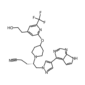 N#CCC[C@@H](Cn1cc(-c2ncnc3[nH]ccc23)cn1)N1CCC(Oc2cc(CCO)cc(C(F)(F)F)n2)CC1